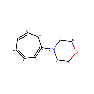 C1=CC=C(N2CCOCC2)CC=C1